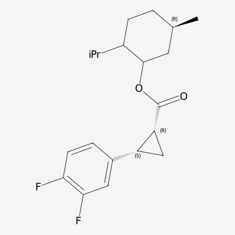 CC(C)C1CC[C@@H](C)CC1OC(=O)[C@@H]1C[C@@H]1c1ccc(F)c(F)c1